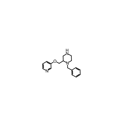 c1ccc(CN2CCNCC2COc2cccnc2)cc1